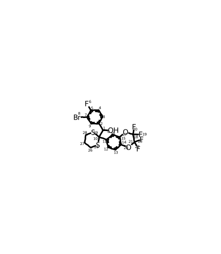 OC(c1ccc(F)c(Br)c1)C1(c2ccc3c(c2)OC(F)(F)C(F)(F)O3)SCCCS1